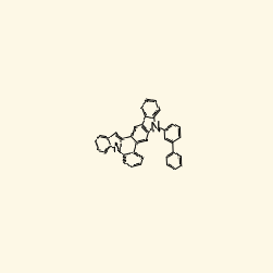 c1ccc(-c2cccc(-n3c4ccccc4c4cc5c(cc43)c3ccccc3n3c4ccccc4cc53)c2)cc1